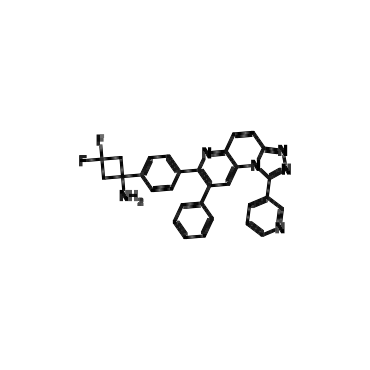 NC1(c2ccc(-c3nc4ccc5nnc(-c6cccnc6)n5c4cc3-c3ccccc3)cc2)CC(F)(F)C1